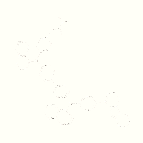 C=C(C)C(=O)Oc1ccc(N(c2ccc(-c3ccc(N(c4ccc(-c5cccc6c5oc5ccccc56)cc4)c4cccc5ccccc45)cc3)cc2)c2cccc3ccccc23)cc1